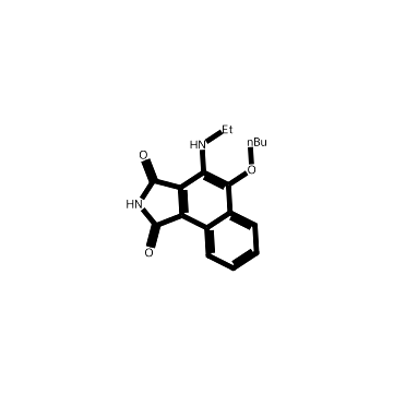 CCCCOc1c(NCC)c2c(c3ccccc13)C(=O)NC2=O